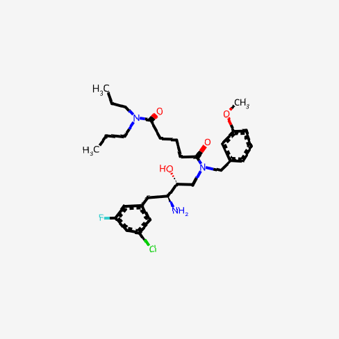 CCCN(CCC)C(=O)CCCC(=O)N(Cc1cccc(OC)c1)C[C@@H](O)[C@@H](N)Cc1cc(F)cc(Cl)c1